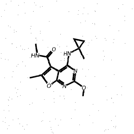 CNC(=O)c1c(C)oc2nc(OC)nc(NC3(C)CC3)c12